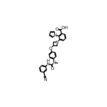 CN(C(=O)Nc1cccc(C#N)c1)c1ccc(OC2CN(c3cccc(C(=O)O)c3-n3cccc3)C2)cc1